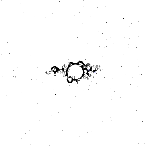 C=C/C(=C(\N=C/C)[C@H](C)OC)c1c2c3cc(ccc3n1CC)-c1csc(n1)[C@@H](OCC)[C@H](NC(=O)[C@@H]1[C@H]3CCN(C)C(=O)[C@H]31)C(=O)N1CCC[C@H](N1)C(=O)OCC(C)(C)C2